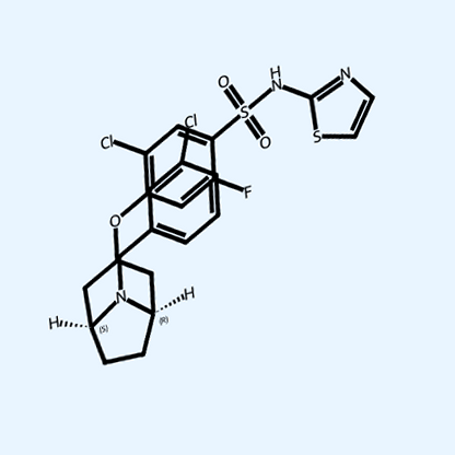 O=S(=O)(Nc1nccs1)c1cc(Cl)c(OC2C[C@H]3CC[C@@H](C2)N3Cc2cccc(Cl)c2)cc1F